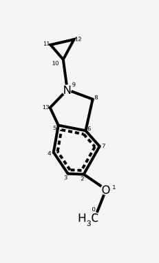 COc1ccc2c(c1)CN(C1CC1)C2